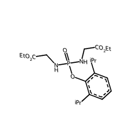 CCOC(=O)CNP(=O)(NCC(=O)OCC)Oc1c(C(C)C)cccc1C(C)C